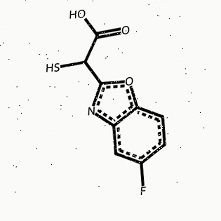 O=C(O)C(S)c1nc2cc(F)ccc2o1